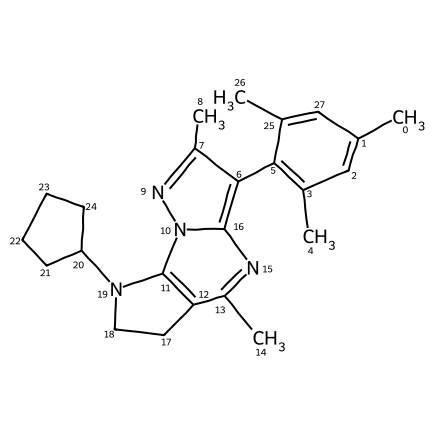 Cc1cc(C)c(-c2c(C)nn3c4c(c(C)nc23)CCN4C2CCCC2)c(C)c1